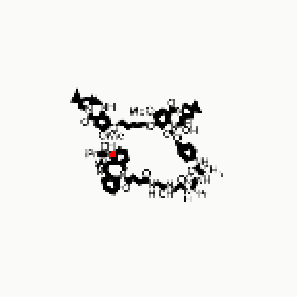 COc1cc2c(cc1OCCCCCOc1cc3c(cc1OC)C(=O)N1CC4(CC4)C[C@H]1[C@H](O)N3C(=O)OCc1ccc(NC(=O)[C@H](C)NC(=O)[C@@H](NC(=O)CNC(=O)CNC(=O)CCC(=O)N3Cc4ccccc4-c4c(nnn4C(C)(C)C(C)C)-c4ccccc43)C(C)C)cc1)NC[C@@H]1CC3(CC3)CN1C2=O